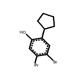 CC(C)c1cc(O)c(C2CCCC2)cc1Br